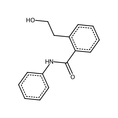 O=C(Nc1ccccc1)c1ccccc1CCO